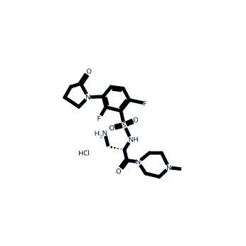 CN1CCN(C(=O)[C@H](CN)NS(=O)(=O)c2c(F)ccc(N3CCCC3=O)c2F)CC1.Cl